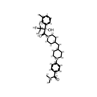 Cc1cccc([C@@](O)(C(=O)N2CCC(CC3CCN(c4ccc(C(=O)N(C)C)cc4)CC3)CC2)C(F)(F)F)c1